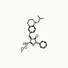 COONC1=NN(c2ccccc2)C(=O)/C1=C\c1ccc2c(c1)CCCN2CC(C)C